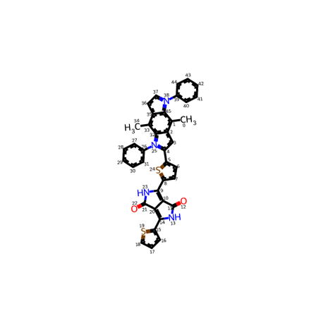 Cc1c2cc(-c3ccc(C4=C5C(=O)NC(c6cccs6)=C5C(=O)N4)s3)n(-c3ccccc3)c2c(C)c2ccn(-c3ccccc3)c12